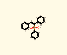 O=S(=O)(C(=Cc1ccccc1)c1ccccc1)c1ccccc1